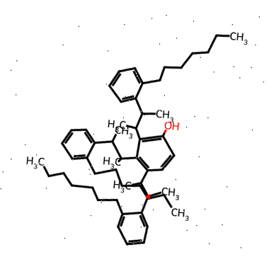 CCCCCCCc1ccccc1C(C)C(C)c1ccc(O)c(C(C)C(C)c2ccccc2CCCCCCC)c1C(C)C(C)c1ccccc1CCCCCCC